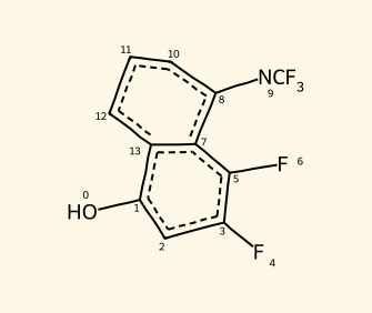 Oc1cc(F)c(F)c2c(NC(F)(F)F)cccc12